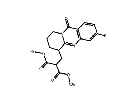 CC(C)(C)OC(=O)C(CC1CCCn2c1nc1cc(F)ccc1c2=O)C(=O)OC(C)(C)C